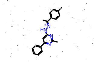 C/C(=N\Nc1cc(-c2ccccc2)nc(C)n1)c1ccc(C)cc1